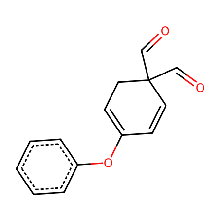 O=CC1(C=O)C=CC(Oc2ccccc2)=CC1